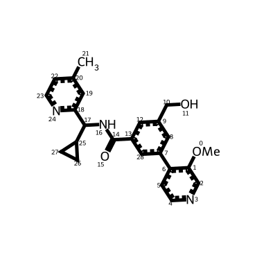 COc1cnccc1-c1cc(CO)cc(C(=O)NC(c2cc(C)ccn2)C2CC2)c1